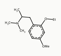 CCOc1cc(OC)ccc1CC(C)N(C)C